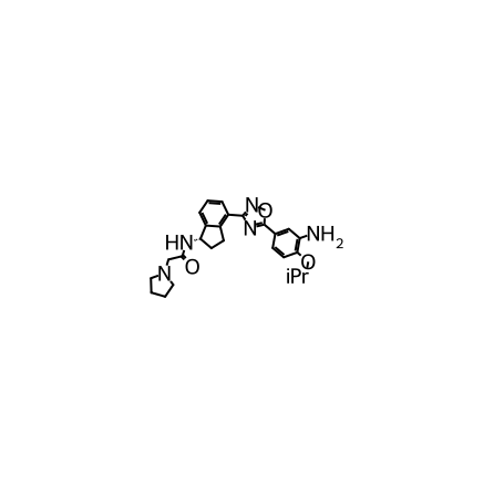 CC(C)Oc1ccc(-c2nc(-c3cccc4c3CC[C@@H]4NC(=O)CN3CCCC3)no2)cc1N